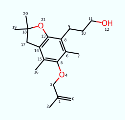 C=C(C)COc1c(C)c(CCCO)c2c(c1C)CC(C)(C)O2